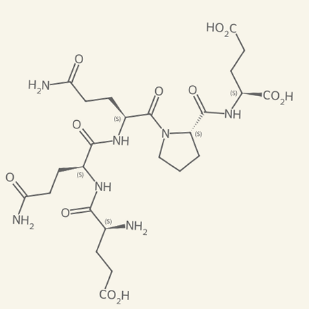 NC(=O)CC[C@H](NC(=O)[C@@H](N)CCC(=O)O)C(=O)N[C@@H](CCC(N)=O)C(=O)N1CCC[C@H]1C(=O)N[C@@H](CCC(=O)O)C(=O)O